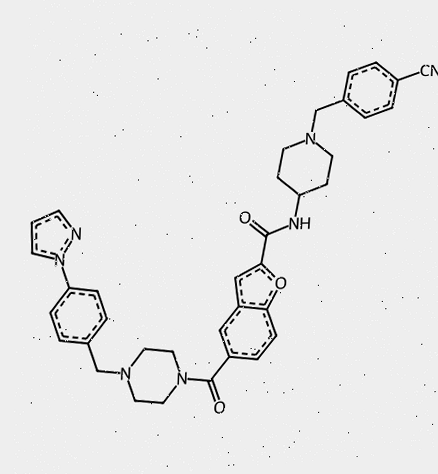 N#Cc1ccc(CN2CCC(NC(=O)c3cc4cc(C(=O)N5CCN(Cc6ccc(-n7cccn7)cc6)CC5)ccc4o3)CC2)cc1